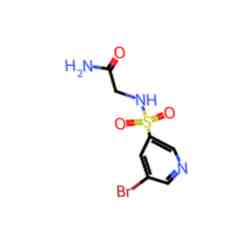 NC(=O)CNS(=O)(=O)c1cncc(Br)c1